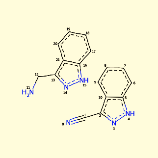 N#Cc1n[nH]c2ccccc12.NCc1n[nH]c2ccccc12